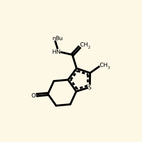 C=C(NCCCC)c1c(C)sc2c1CC(=O)CC2